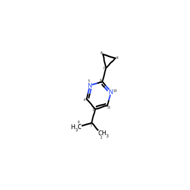 CC(C)c1cnc(C2CC2)nc1